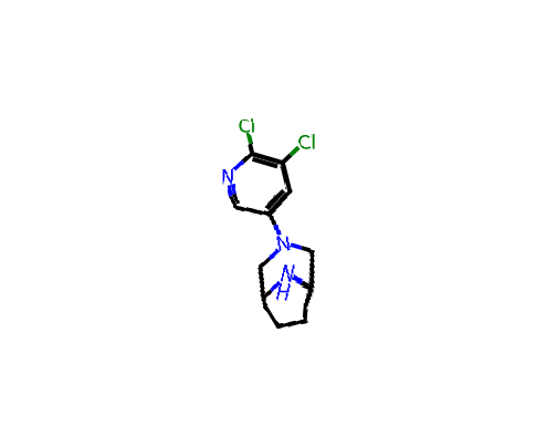 Clc1cc(N2CC3CCC(C2)N3)cnc1Cl